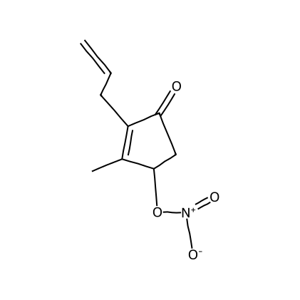 C=CCC1=C(C)C(O[N+](=O)[O-])CC1=O